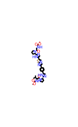 COC(=O)NCC(=O)N1CCCC1c1ncc(-c2cn3cc(-c4ccc(-c5cnc([C@@H]6CCCN6C(=O)[C@@H](NC(=O)OC)C(C)C)[nH]5)cc4)nc3s2)[nH]1